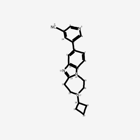 N#Cc1cncc(-c2ccc3c(c2)nc2n3CCN(C3CCC3)CC2)c1